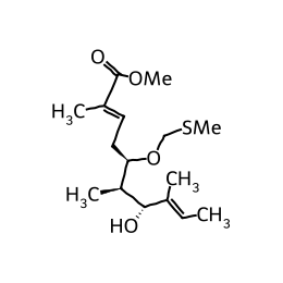 C/C=C(\C)[C@H](O)[C@@H](C)[C@@H](C/C=C(\C)C(=O)OC)OCSC